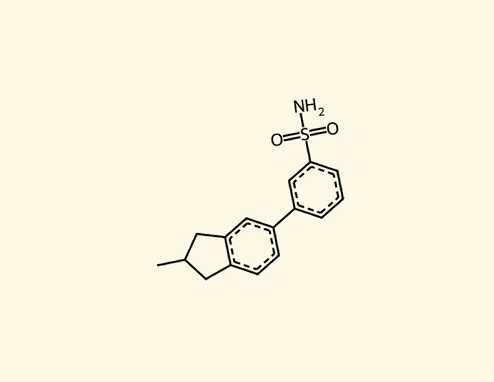 CC1Cc2ccc(-c3cccc(S(N)(=O)=O)c3)cc2C1